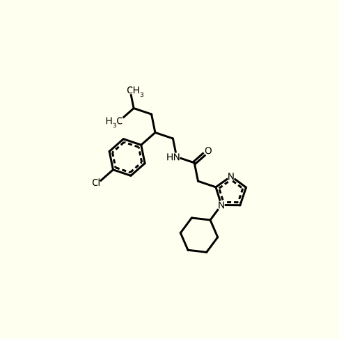 CC(C)CC(CNC(=O)Cc1nccn1C1CCCCC1)c1ccc(Cl)cc1